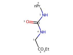 CCCNC(=O)NCC(=O)OCC